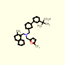 Cc1ccc2ccccc2c1CN(Cc1cccc(-c2cccc(C(C)(C)C(=O)O)c2)c1)Cc1ccc(C(F)(F)F)o1